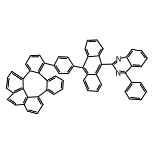 c1ccc(-c2nc(-c3c4ccccc4c(-c4ccc(-c5cccc6c7cccc8ccc9cccc(c%10ccccc%10c56)c9c87)cc4)c4ccccc34)nc3ccccc23)cc1